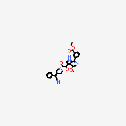 CCOC(=O)c1cccc(-c2ncc(OC)c3c(C(=O)C(=O)N4CCC(=C(C#N)c5ccccc5)CC4)c[nH]c23)c1